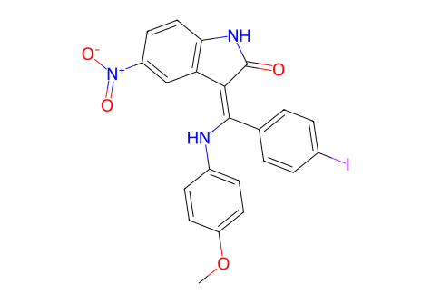 COc1ccc(NC(=C2C(=O)Nc3ccc([N+](=O)[O-])cc32)c2ccc(I)cc2)cc1